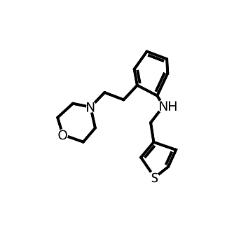 c1ccc(NCc2ccsc2)c(CCN2CCOCC2)c1